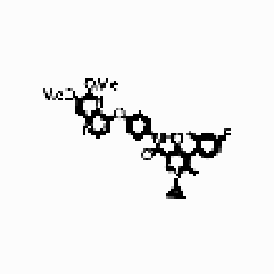 COc1cc2nccc(Oc3ccc(NC(=O)c4cn(C5CC5)c(C)c(-c5ccc(F)cc5C)c4=O)cc3)c2nc1OC